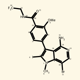 COc1cc(-c2c(I)n(C)c3c(Br)cnc(N)c23)ccc1C(=O)NCC(F)(F)F